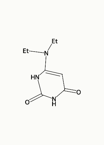 CCN(CC)c1cc(=O)[nH]c(=O)[nH]1